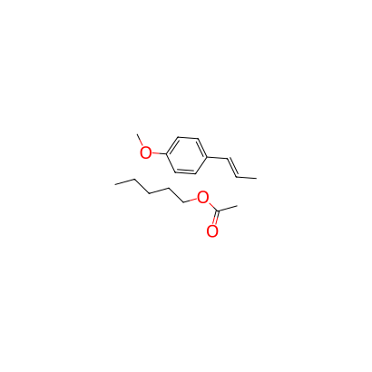 CC=Cc1ccc(OC)cc1.CCCCCOC(C)=O